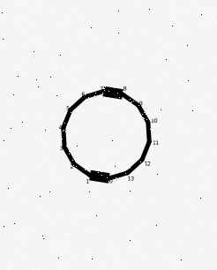 C1#CCCCCCC#CCCCCC1